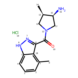 Cc1cccc2[nH]nc(C(=O)N3C[C@@H](C)[C@@H](N)C3)c12.Cl